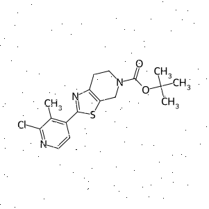 Cc1c(-c2nc3c(s2)CN(C(=O)OC(C)(C)C)CC3)ccnc1Cl